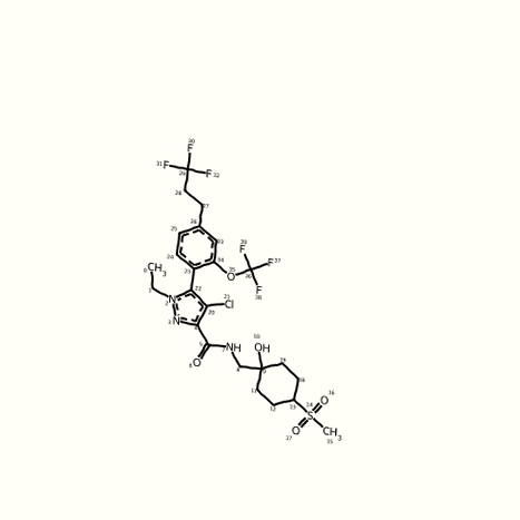 CCn1nc(C(=O)NCC2(O)CCC(S(C)(=O)=O)CC2)c(Cl)c1-c1ccc(CCC(F)(F)F)cc1OC(F)(F)F